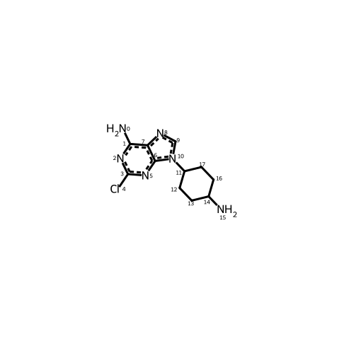 Nc1nc(Cl)nc2c1ncn2C1CCC(N)CC1